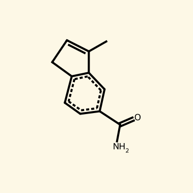 CC1=CCc2ccc(C(N)=O)cc21